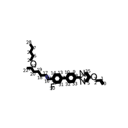 C=CCOc1cnc(-c2ccc(-c3ccc(/C=C/CCCC(C)OCCCCC)c(F)c3)cc2)nc1